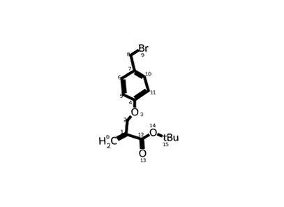 C=C(COc1ccc(CBr)cc1)C(=O)OC(C)(C)C